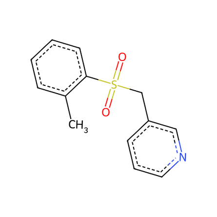 Cc1ccccc1S(=O)(=O)Cc1cccnc1